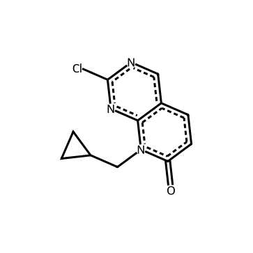 O=c1ccc2cnc(Cl)nc2n1CC1CC1